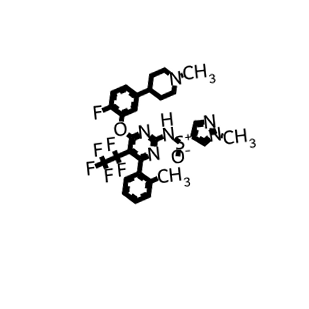 Cc1ccccc1-c1nc(N[S+]([O-])c2cnn(C)c2)nc(Oc2cc(C3CCN(C)CC3)ccc2F)c1C(F)(F)C(F)(F)F